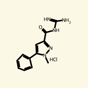 Cl.Cn1nc(C(=O)NC(=N)N)cc1-c1ccccc1